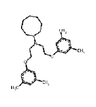 Cc1cc(C)cc(OCCN(CCOc2cc(C)cc(C)c2)C2CCCCCCC2)c1